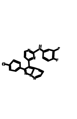 Fc1ccc(Nc2nccc(-c3c(-c4ccc(Cl)cc4)nn4ncccc34)n2)cc1F